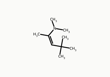 CC(=CC(C)(C)C)N(C)C